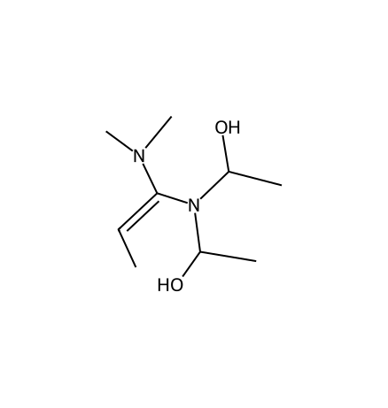 CC=C(N(C)C)N(C(C)O)C(C)O